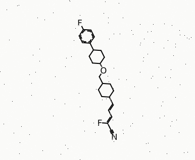 N#CC(F)=CC=CC1CCC(COC2CCC(c3ccc(F)cc3)CC2)CC1